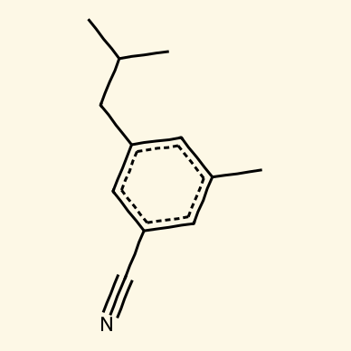 Cc1cc(C#N)cc(CC(C)C)c1